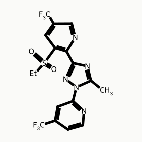 CCS(=O)(=O)c1cc(C(F)(F)F)cnc1-c1nc(C)n(-c2cc(C(F)(F)F)ccn2)n1